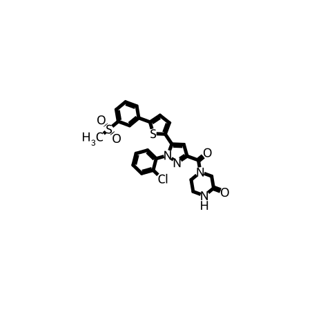 CS(=O)(=O)c1cccc(-c2ccc(-c3cc(C(=O)N4CCNC(=O)C4)nn3-c3ccccc3Cl)s2)c1